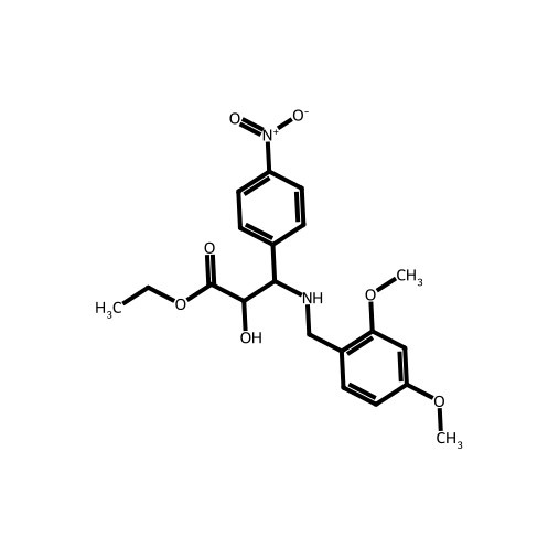 CCOC(=O)C(O)C(NCc1ccc(OC)cc1OC)c1ccc([N+](=O)[O-])cc1